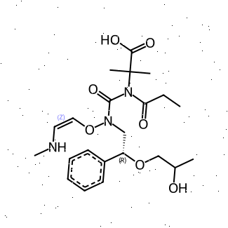 CCC(=O)N(C(=O)N(C[C@H](OCC(C)O)c1ccccc1)O/C=C\NC)C(C)(C)C(=O)O